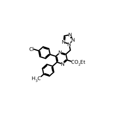 CCOC(=O)c1nc(-c2ccc(C)cc2)c(-c2ccc(Cl)cc2)nc1Cn1ncnn1